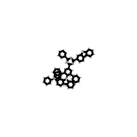 c1ccc(-c2nc(-c3cc(-c4ccccc4)c(-n4c5ccccc5c5ccc6c(c7ccccc7n6-c6ccccc6)c54)c(-c4ccccc4)c3)nc(-c3ccc4c(c3)oc3ccccc34)n2)cc1